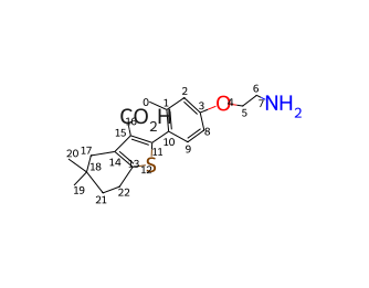 Cc1cc(OCCN)ccc1-c1sc2c(c1C(=O)O)CC(C)(C)CC2